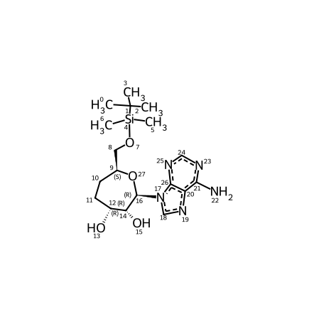 CC(C)(C)[Si](C)(C)OC[C@@H]1CC[C@@H](O)[C@@H](O)[C@H](n2cnc3c(N)ncnc32)O1